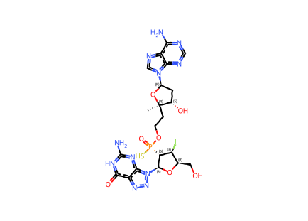 C[C@]1(CCOP(=O)(S)[C@@H]2[C@@H](F)[C@@H](CO)O[C@H]2n2nnc3c(=O)[nH]c(N)nc32)O[C@@H](n2cnc3c(N)ncnc32)C[C@@H]1O